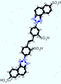 O=S(=O)(O)c1ccc2c(ccc3nn(-c4ccc(C=Cc5ccc(-n6nc7ccc8cc(S(=O)(=O)O)ccc8c7n6)cc5S(=O)(=O)O)c(S(=O)(=O)O)c4)nc32)c1